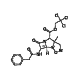 CC1(CBr)C(C(=O)OCC(Cl)(Cl)Cl)N2C(=O)C(NC(=O)Cc3ccccc3)[C@@H]2[S+]1[O-]